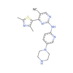 Cc1nc(C)c(-c2nc(Nc3ccc(N4CCNCC4)cn3)ncc2C#N)s1